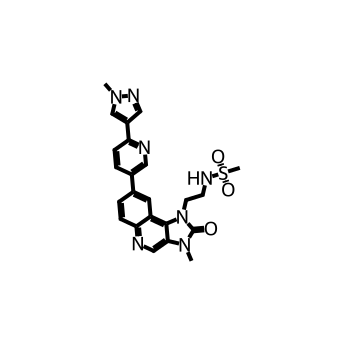 Cn1cc(-c2ccc(-c3ccc4ncc5c(c4c3)n(CCNS(C)(=O)=O)c(=O)n5C)cn2)cn1